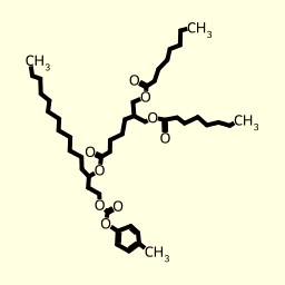 CCCCCCCCCCCCC(CCOC(=O)Oc1ccc(C)cc1)OC(=O)CCCCC(COC(=O)CCCCCCC)COC(=O)CCCCCCC